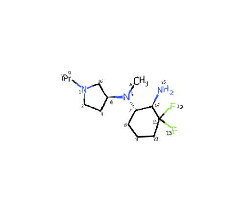 CC(C)N1CC[C@H](N(C)[C@H]2CCCC(F)(F)[C@@H]2N)C1